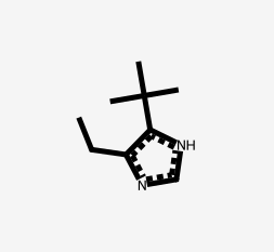 CCc1nc[nH]c1C(C)(C)C